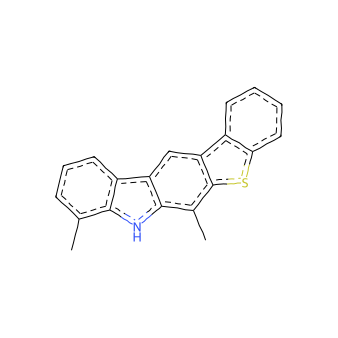 Cc1cccc2c1[nH]c1c(C)c3sc4ccccc4c3cc12